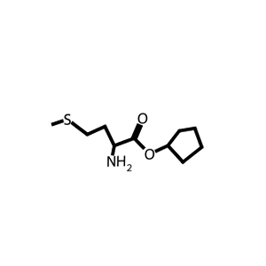 CSCCC(N)C(=O)OC1CCCC1